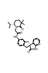 CC(C)[C@@H]1CCC(C)(C)C(=O)N1CC(=O)Nc1ccc2c(c1)C[C@@]1(C2)C(=O)Nc2ncccc21